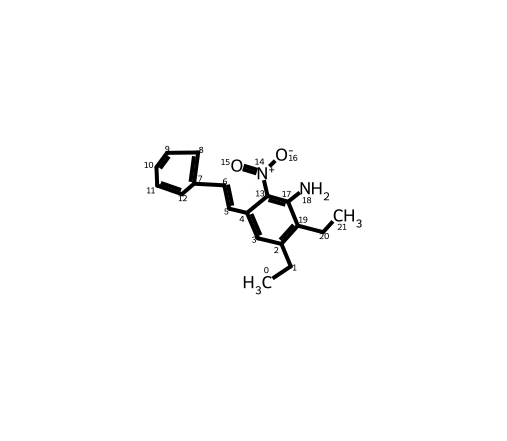 CCc1cc(C=Cc2ccccc2)c([N+](=O)[O-])c(N)c1CC